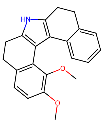 COc1ccc2c(c1OC)-c1c([nH]c3c1-c1ccccc1CC3)CC2